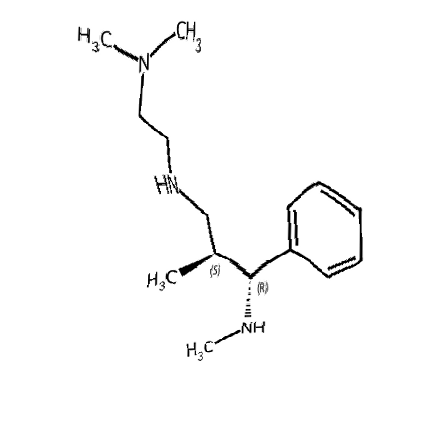 CN[C@@H](c1ccccc1)[C@@H](C)CNCCN(C)C